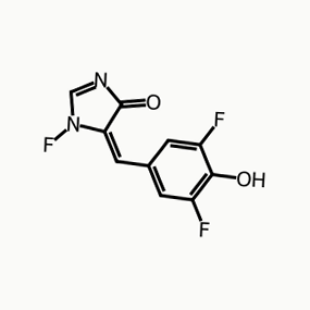 O=C1N=CN(F)C1=Cc1cc(F)c(O)c(F)c1